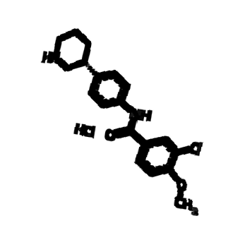 COc1ccc(C(=O)Nc2ccc([C@H]3CCCNC3)cc2)cc1Cl.Cl